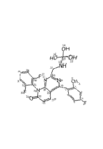 Cc1cc(F)ccc1-c1nc(CNC(O)(O)O)nc2c1ccc(=O)n2-c1c(F)cccc1F